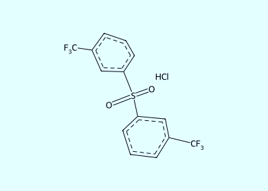 Cl.O=S(=O)(c1cccc(C(F)(F)F)c1)c1cccc(C(F)(F)F)c1